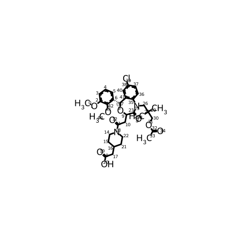 COc1cccc([C@H]2OC(CC(=O)N3CCC(CC(=O)O)CC3)C(=O)N(CC(C)(C)COC(C)=O)c3ccc(Cl)cc32)c1OC